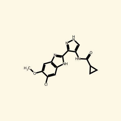 COc1cc2nc(-c3n[nH]cc3NC(=O)C3CC3)[nH]c2cc1Cl